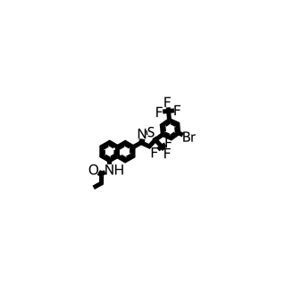 CCC(=O)Nc1cccc2cc(C3=NSC(c4cc(Br)cc(C(F)(F)F)c4)(C(F)(F)F)C3)ccc12